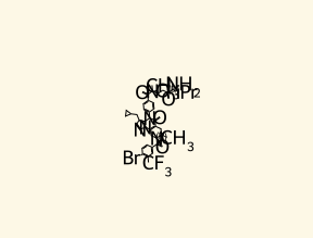 CC(C)[C@@H](N)C(=O)OCN(C)C(=O)c1ccc(-n2c(=O)c3c(n4ncc(CC5CC5)c24)CN(C(=O)c2ccc(Br)c(C(F)(F)F)c2)[C@H](C)C3)cc1